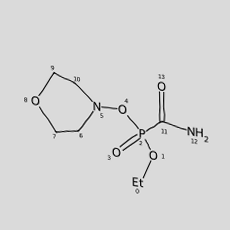 CCOP(=O)(ON1CCOCC1)C(N)=O